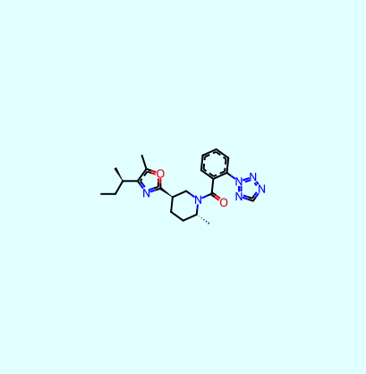 CC[C@@H](C)c1nc([C@@H]2CC[C@@H](C)N(C(=O)c3ccccc3-n3ncnn3)C2)oc1C